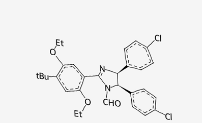 CCOc1cc(C(C)(C)C)c(OCC)cc1C1=N[C@@H](c2ccc(Cl)cc2)[C@@H](c2ccc(Cl)cc2)N1C=O